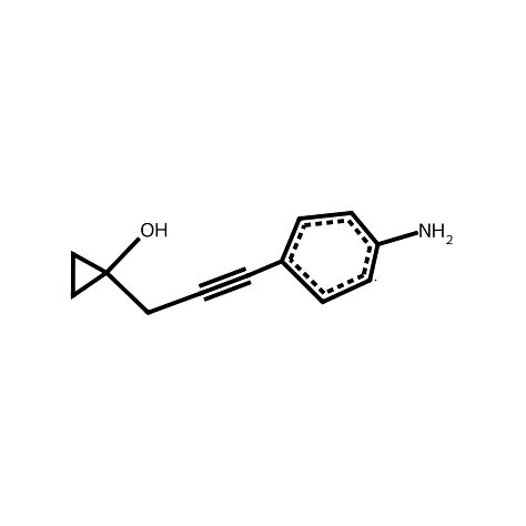 Nc1[c]cc(C#CCC2(O)CC2)cc1